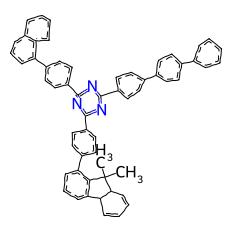 CC1(C)c2c(-c3ccc(-c4nc(-c5ccc(-c6ccc(-c7ccccc7)cc6)cc5)nc(-c5ccc(-c6cccc7ccccc67)cc5)n4)cc3)cccc2C2C=CC=CC21